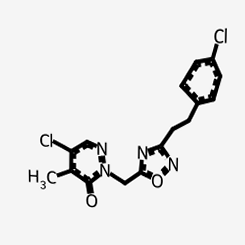 Cc1c(Cl)cnn(Cc2nc(CCc3ccc(Cl)cc3)no2)c1=O